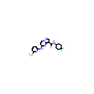 O=C(NC1CCC(F)(F)CC1)c1cnn2ccc(Nc3cccc(C(F)(F)F)n3)nc12